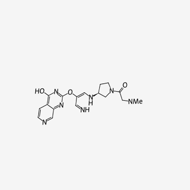 CNCC(=O)N1CC[C@H](N/C=C(\C=N)Oc2nc(O)c3ccncc3n2)C1